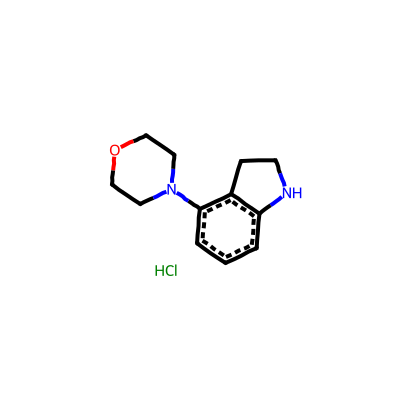 Cl.c1cc2c(c(N3CCOCC3)c1)CCN2